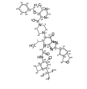 CCc1c(N2CCN(C(=O)c3ncnc(C)c3OCc3ccccc3)CC2)c(=O)n2nc(-c3ccc4c(c3)COC4)nc2n1CC(=O)Nc1c(Cl)cc(C(F)(F)F)c2c1CC2